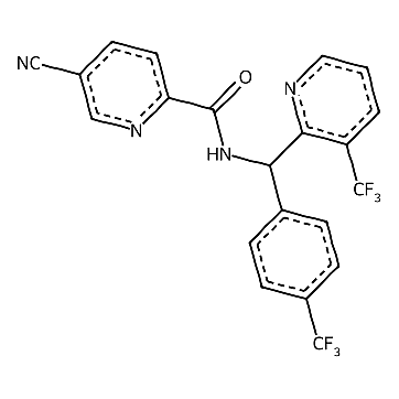 N#Cc1ccc(C(=O)NC(c2ccc(C(F)(F)F)cc2)c2ncccc2C(F)(F)F)nc1